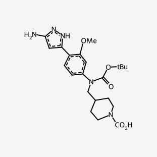 COc1cc(N(CC2CCN(C(=O)O)CC2)C(=O)OC(C)(C)C)ccc1-c1cc(N)n[nH]1